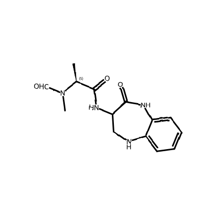 C[C@@H](C(=O)NC1CNc2ccccc2NC1=O)N(C)C=O